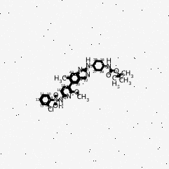 COc1nc(NS(=O)(=O)c2ccccc2Cl)ccc1-c1cc2cnc(N[C@H]3CC[C@H](NC(=O)OC(C)(C)C)CC3)nc2cc1C